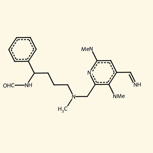 CNc1cc(C=N)c(NC)c(CN(C)CCCC(NC=O)c2ccccc2)n1